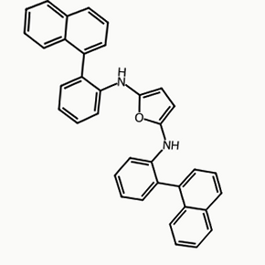 c1ccc(-c2cccc3ccccc23)c(Nc2ccc(Nc3ccccc3-c3cccc4ccccc34)o2)c1